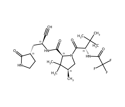 C#C[C@H](C[C@@H]1CCNC1=O)NC(=O)[C@H]1N(C(=O)[C@@H](NC(=O)C(F)(F)F)C(C)(C)C)C[C@@H](C)C1(C)C